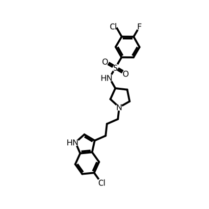 O=S(=O)(NC1CCN(CCCc2c[nH]c3ccc(Cl)cc23)C1)c1ccc(F)c(Cl)c1